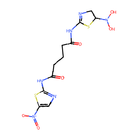 O=C(CCCC(=O)Nc1ncc([N+](=O)[O-])s1)NC1=NCC(N(O)O)S1